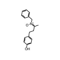 CC(CCc1ccc(O)cc1)=[N+]([O-])Cc1ccccc1